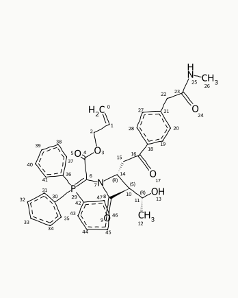 C=CCOC(=O)C(N1C(=O)[C@H]([C@@H](C)O)[C@H]1CC(=O)c1ccc(CC(=O)NC)cc1)=P(c1ccccc1)(c1ccccc1)c1ccccc1